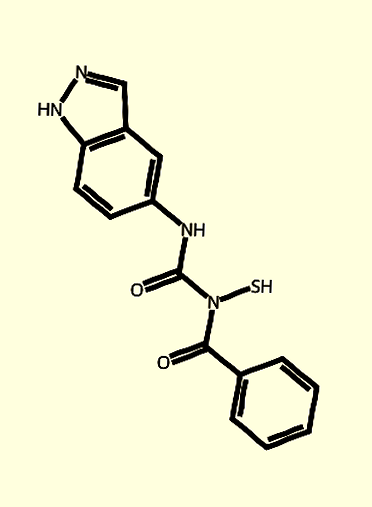 O=C(Nc1ccc2[nH]ncc2c1)N(S)C(=O)c1ccccc1